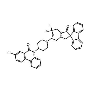 O=C(NC1CCN(CCCCC2(C(=O)NCC(F)(F)F)c3ccccc3-c3ccccc32)CC1)c1cc(Cl)ccc1-c1ccccc1